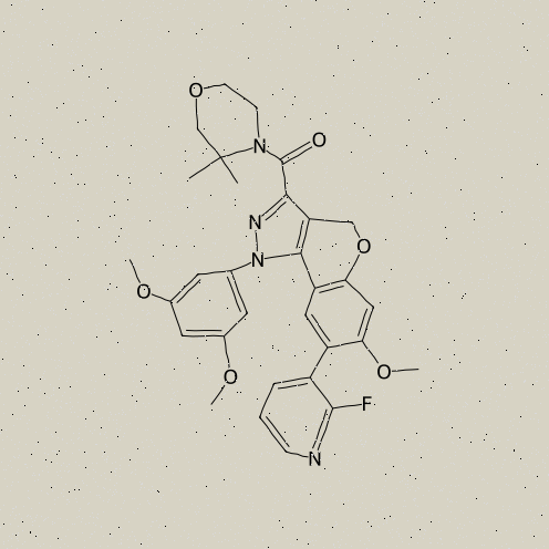 COc1cc(OC)cc(-n2nc(C(=O)N3CCOCC3(C)C)c3c2-c2cc(-c4cccnc4F)c(OC)cc2OC3)c1